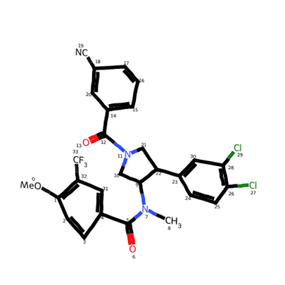 COc1ccc(C(=O)N(C)C2CN(C(=O)c3cccc(C#N)c3)CC2c2ccc(Cl)c(Cl)c2)cc1C(F)(F)F